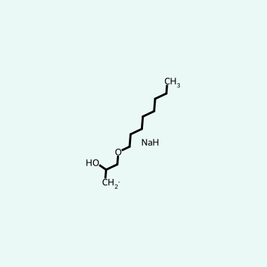 [CH2]C(O)COCCCCCCCC.[NaH]